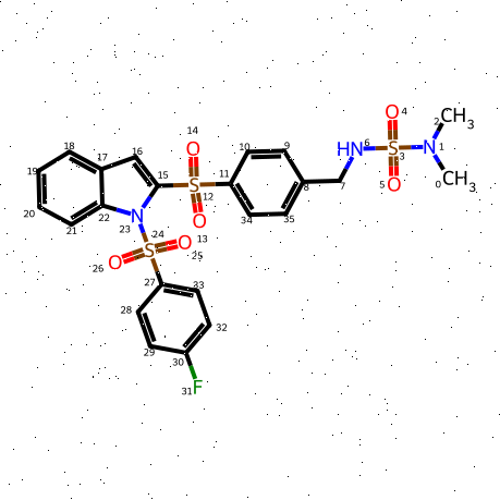 CN(C)S(=O)(=O)NCc1ccc(S(=O)(=O)c2cc3ccccc3n2S(=O)(=O)c2ccc(F)cc2)cc1